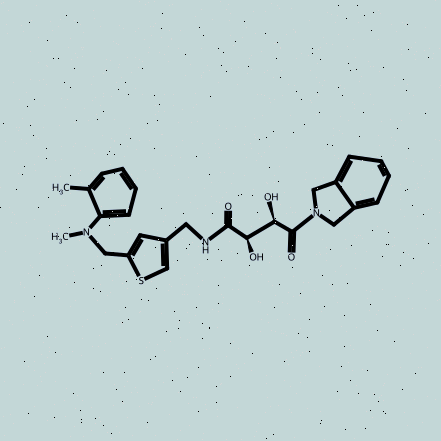 Cc1ccccc1N(C)Cc1cc(CNC(=O)[C@H](O)[C@@H](O)C(=O)N2Cc3ccccc3C2)cs1